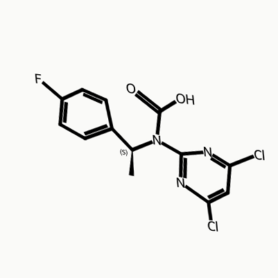 C[C@@H](c1ccc(F)cc1)N(C(=O)O)c1nc(Cl)cc(Cl)n1